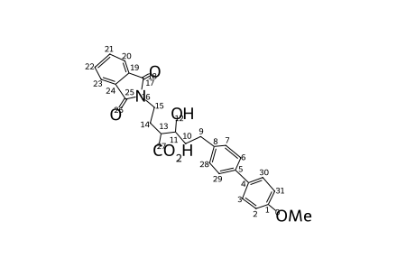 COc1ccc(-c2ccc(CCC(O)C(CCN3C(=O)c4ccccc4C3=O)C(=O)O)cc2)cc1